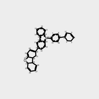 C1=CCCC(c2ccc(-n3c4ccccc4c4cc(C5=CC=C6OC7C=CC=CC7C6C5)ccc43)cc2)=C1